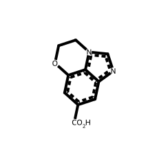 O=C(O)c1cc2c3c(c1)ncn3CCO2